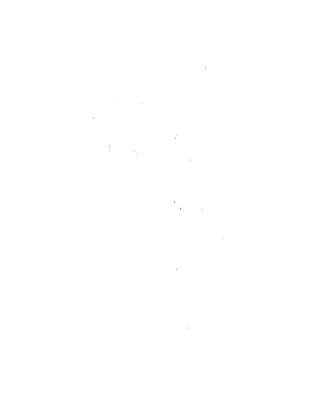 c1ccc(C(CCN2CCC3(CCc4ccccc43)CC2)c2ccccc2)cc1